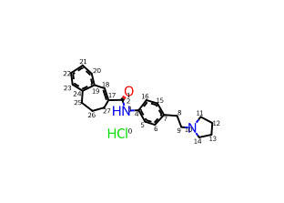 Cl.O=C(Nc1ccc(CCN2CCCC2)cc1)C1=Cc2ccccc2CCC1